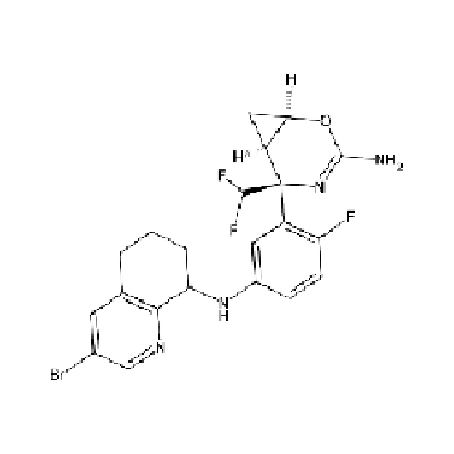 NC1=N[C@@](c2cc(NC3CCCc4cc(Br)cnc43)ccc2F)(C(F)F)[C@H]2C[C@H]2O1